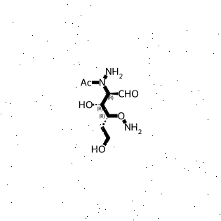 CC(=O)N(N)[C@@H](C=O)[C@@H](O)[C@@H](CCO)ON